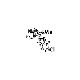 CSC1=C(c2cc3ccc(Cl)cc3s2)N2CCN=C2S1